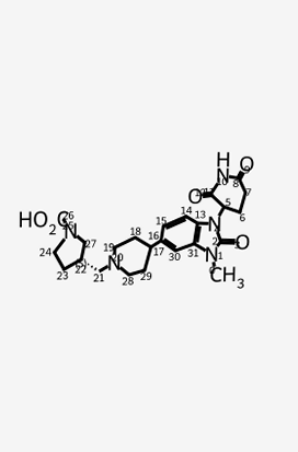 Cn1c(=O)n(C2CCC(=O)NC2=O)c2ccc(C3CCN(C[C@@H]4CCN(C(=O)O)C4)CC3)cc21